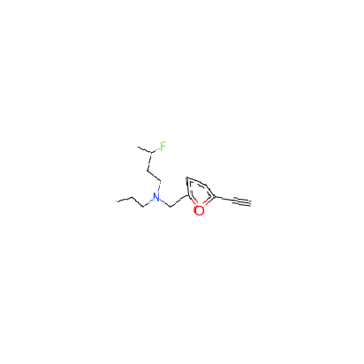 C#Cc1ccc(CN(CCC)CCC(C)F)o1